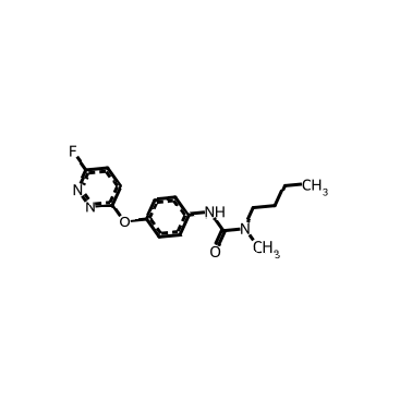 CCCCN(C)C(=O)Nc1ccc(Oc2ccc(F)nn2)cc1